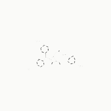 C=CC1C(=O)N(C(c2ccc(OC)cc2)c2ccc(OC)cc2)C1CC(=O)OCc1ccc(OC)cc1